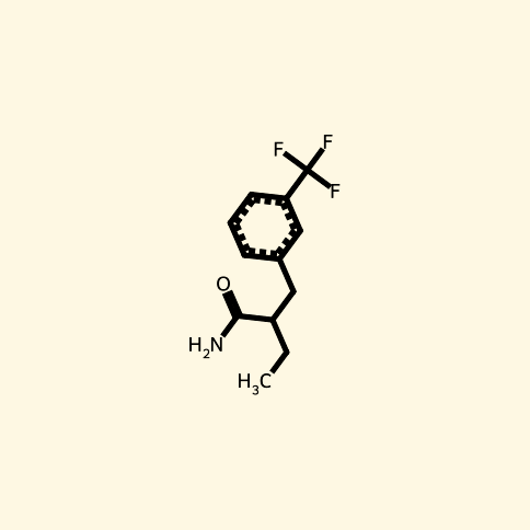 CCC(Cc1cccc(C(F)(F)F)c1)C(N)=O